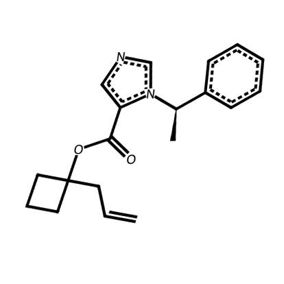 C=CCC1(OC(=O)c2cncn2[C@H](C)c2ccccc2)CCC1